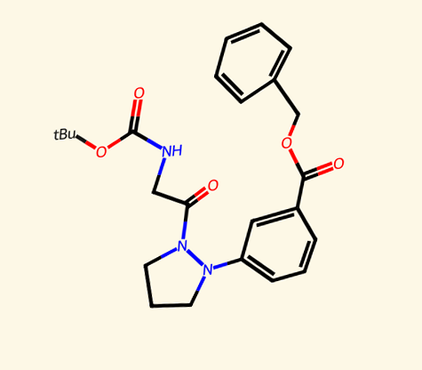 CC(C)(C)OC(=O)NCC(=O)N1CCCN1c1cccc(C(=O)OCc2ccccc2)c1